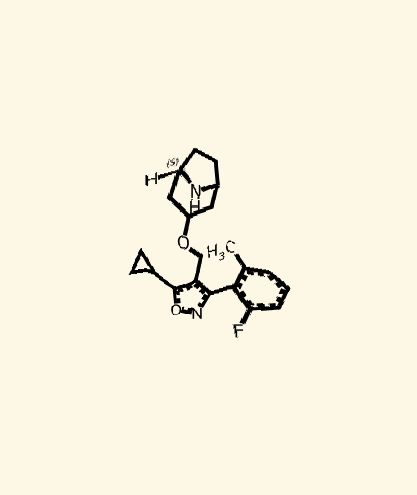 Cc1cccc(F)c1-c1noc(C2CC2)c1COC1CC2CC[C@@H](C1)N2